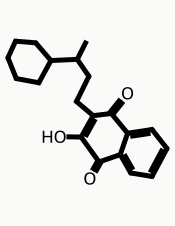 CC(CCC1=C(O)C(=O)c2ccccc2C1=O)C1CCCCC1